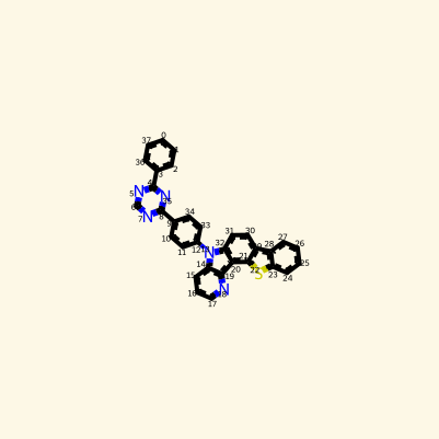 c1ccc(-c2ncnc(-c3ccc(-n4c5cccnc5c5c6sc7ccccc7c6ccc54)cc3)n2)cc1